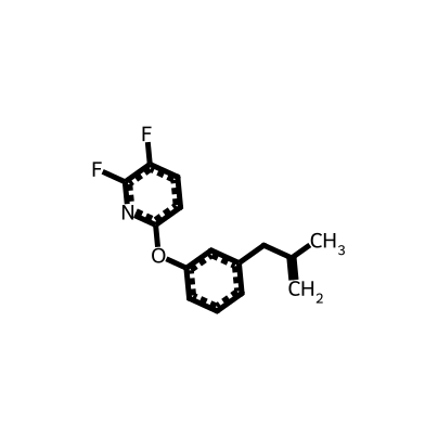 C=C(C)Cc1cccc(Oc2ccc(F)c(F)n2)c1